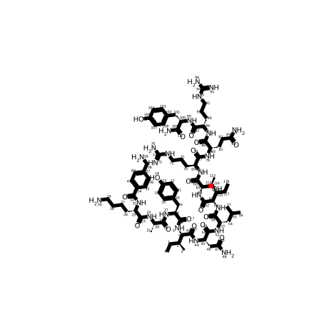 CC[C@H](C)[C@H](NC(=O)[C@H](Cc1ccc(O)cc1)NC(=O)[C@H](C)NC(=O)[C@H](CCCCN)NC(=O)c1ccc(CN)cc1)C(=O)N[C@@H](CC(N)=O)C(=O)N[C@@H](CC(C)C)C(=O)N[C@H](C(=O)N[C@H](C(=O)N[C@@H](CCCNC(=N)N)C(=O)N[C@@H](CCC(N)=O)C(=O)N[C@@H](CCCNC(=N)N)C(=O)N[C@@H](Cc1ccc(O)cc1)C(N)=O)[C@@H](C)O)[C@@H](C)CC